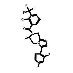 CC1Cn2c(nnc2-c2ccc(F)cc2F)CN1C(=O)c1cccc(C(F)(F)F)c1Cl